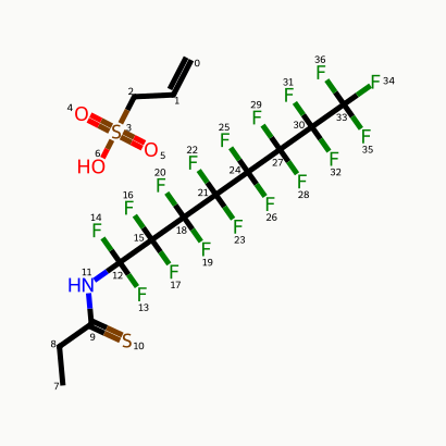 C=CCS(=O)(=O)O.CCC(=S)NC(F)(F)C(F)(F)C(F)(F)C(F)(F)C(F)(F)C(F)(F)C(F)(F)C(F)(F)F